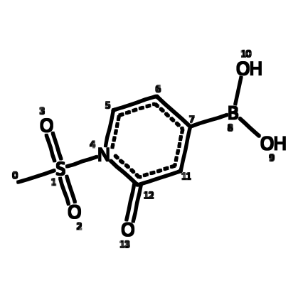 CS(=O)(=O)n1ccc(B(O)O)cc1=O